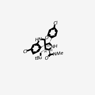 CNC(=O)[C@@H]1N[C@@H](c2ccc(Cl)cc2)[C@]2(C(=O)Nc3cc(Cl)ccc32)[C@H]1CC(C)(C)C